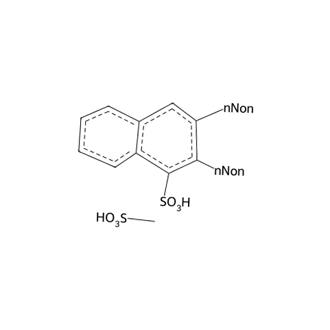 CCCCCCCCCc1cc2ccccc2c(S(=O)(=O)O)c1CCCCCCCCC.CS(=O)(=O)O